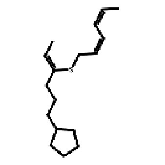 C/C=C\C=C/CS/C(=C\C)CCCC1CCCC1